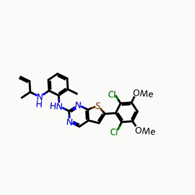 C=CC(C)Nc1cccc(C)c1Nc1ncc2cc(-c3c(Cl)c(OC)cc(OC)c3Cl)sc2n1